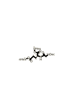 CCCCCCCCCCCC(=O)N[C@@H](CCC(=O)OCCCCCC)C(=O)OCCCCCC